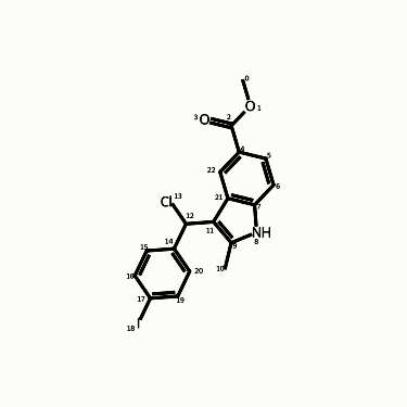 COC(=O)c1ccc2[nH]c(C)c(C(Cl)c3ccc(I)cc3)c2c1